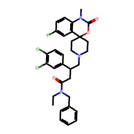 CCN(Cc1ccccc1)C(=O)CC(CN1CCC2(CC1)OC(=O)N(C)c1ccc(F)cc12)c1ccc(Cl)c(Cl)c1